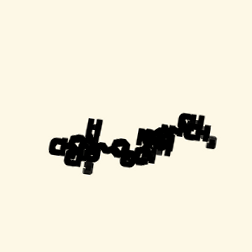 CN(C)CCNCc1cnc(-c2cc(Oc3cccc(CCC(=O)Nc4ccc(Cl)c(C(F)(F)F)c4)c3)ccn2)[nH]1